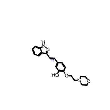 Oc1cc(/C=C/c2n[nH]c3ccccc23)ccc1OCCN1CCOCC1